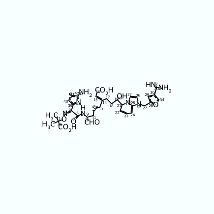 CC(C)(O/N=C(\C(=O)N[C@H](C=O)CSC/C(=C/C(=O)O)CCC(O)C1C=CC=C2N(Cc3cc(C(=N)N)co3)C=CN21)c1csc(N)n1)C(=O)O